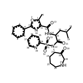 Cc1oc(-c2ccccc2)nc1C(=O)NC(CC(C)C)C(=O)N([C@H]1CCCNCC1=O)S(=O)(=O)c1ccccn1